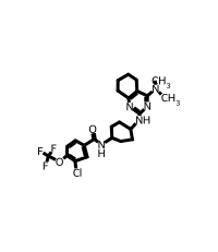 CN(C)c1nc(NC2CCC(NC(=O)c3ccc(OC(F)(F)F)c(Cl)c3)CC2)nc2c1CCCC2